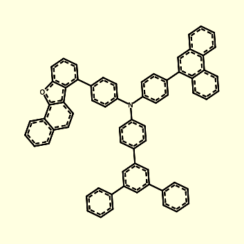 c1ccc(-c2cc(-c3ccccc3)cc(-c3ccc(N(c4ccc(-c5cc6ccccc6c6ccccc56)cc4)c4ccc(-c5cccc6oc7c8ccccc8ccc7c56)cc4)cc3)c2)cc1